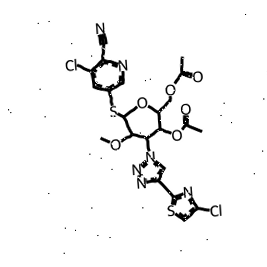 COC1C(Sc2cnc(C#N)c(Cl)c2)OC(COC(C)=O)C(OC(C)=O)C1n1cc(-c2nc(Cl)cs2)nn1